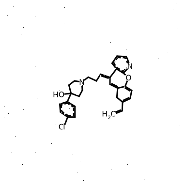 C=CC1=CC=C2Oc3ncccc3C(=CCCN3CCC(O)(c4ccc(Cl)cc4)CC3)C=C2C1